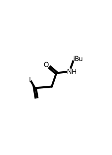 C=C(I)CC(=O)NC(C)CC